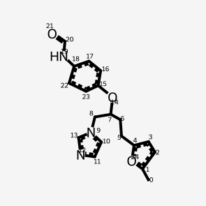 Cc1ccc(CCC(Cn2ccnc2)Oc2ccc(NC=O)cc2)o1